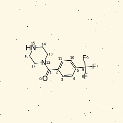 O=C(c1ccc(C(F)(F)F)cc1)N1CCNCC1